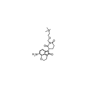 C[Si](C)(C)CCOCN1C(=O)CCC(n2c(=O)n3c4c(c(N)ccc42)OCC3)C1=O